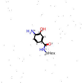 CCCCCCNC(=O)c1ccc(N)c(O)c1